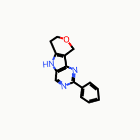 c1ccc(-c2ncc3[nH]c4c(c3n2)COCC4)cc1